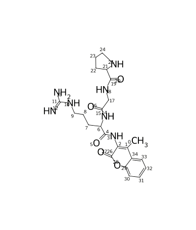 Cc1c(NC(=O)C(CCCNC(=N)N)NC(=O)CNC(=O)C2CCCN2)c(=O)oc2ccccc12